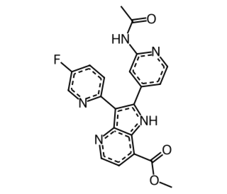 COC(=O)c1ccnc2c(-c3ccc(F)cn3)c(-c3ccnc(NC(C)=O)c3)[nH]c12